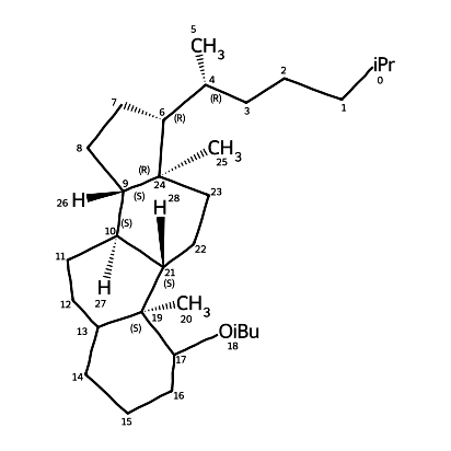 CC(C)CCC[C@@H](C)[C@H]1CC[C@H]2[C@@H]3CCC4CCCC(OCC(C)C)[C@]4(C)[C@H]3CC[C@]12C